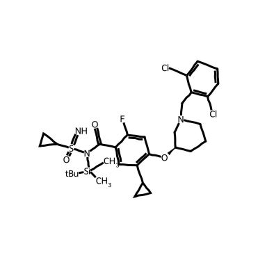 CC(C)(C)[Si](C)(C)N(C(=O)c1cc(C2CC2)c(O[C@@H]2CCCN(Cc3c(Cl)cccc3Cl)C2)cc1F)S(=N)(=O)C1CC1